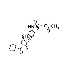 CC(=O)OCCS(=O)(=O)Nc1ccc(Cc2c(F)c(C(=O)c3ccccc3)cn2C)cc1